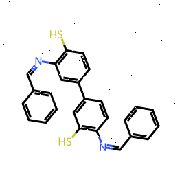 Sc1cc(-c2ccc(S)c(/N=C\c3ccccc3)c2)ccc1/N=C\c1ccccc1